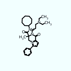 CCN(CC)CCCN1C(=O)c2ccc(-c3ccccc3)n2CC1(C)C(=O)NC1CCCCCCC1